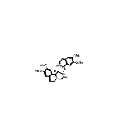 CCC1CN2CCc3cc(OC)c(OC)cc3[C@@H]2C[C@@H]1C[C@H]1NCCc2cc(OC)c(OC)cc21